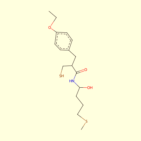 CCOc1ccc(CC(CS)C(=O)NC(O)CCCSC)cc1